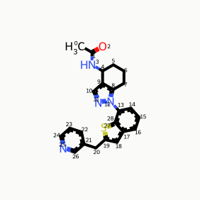 CC(=O)NC1CCCc2c1cnn2-c1cccc2cc(Cc3cccnc3)sc12